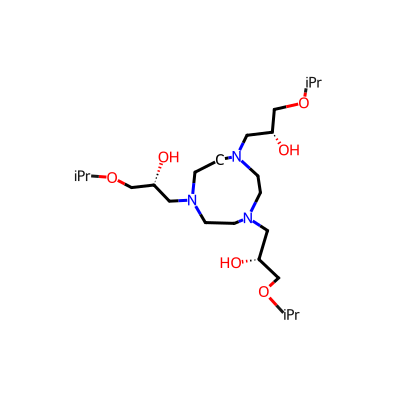 CC(C)OC[C@H](O)CN1CCN(C[C@@H](O)COC(C)C)CCN(C[C@@H](O)COC(C)C)CC1